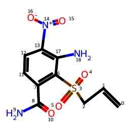 C=CCS(=O)(=O)c1c(C(N)=O)ccc([N+](=O)[O-])c1N